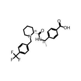 C[C@H](NC(=O)[C@H]1CCCCN1Cc1ccc(C(F)(F)F)cc1)c1ccc(C(=O)O)cc1